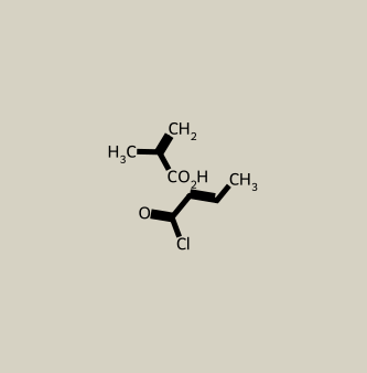 C=C(C)C(=O)O.CC=CC(=O)Cl